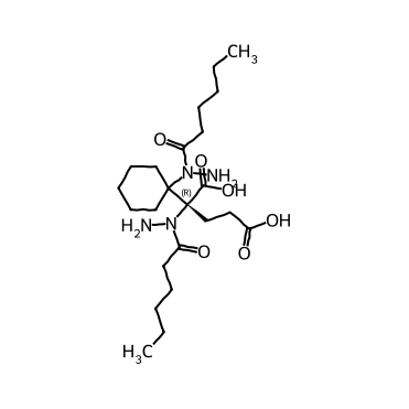 CCCCCC(=O)N(N)C1([C@](CCC(=O)O)(C(=O)O)N(N)C(=O)CCCCC)CCCCC1